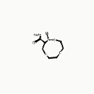 CCN1CCCCCCCCC1C(=O)NC